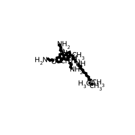 C[C@H](CCCNCCCCCCCCCC[Si](C)(C)C)C1CC[C@H]2C3[C@H](OCCCN)CC4C[C@H](OCCCN)CCC4(C)[C@H]3C[C@H](OCCCN)C12C